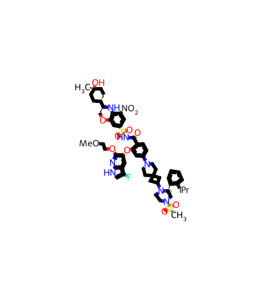 COCCOc1nc2[nH]cc(F)c2cc1Oc1cc(N2CCC3(CC2)CC(N2CCN(S(C)(=O)=O)C[C@H]2c2ccccc2C(C)C)C3)ccc1C(=O)NS(=O)(=O)c1cc2c(c([N+](=O)[O-])c1)N[C@@H]([C@H]1CC[C@](C)(O)CC1)CO2